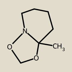 CC12CCCCN1OCO2